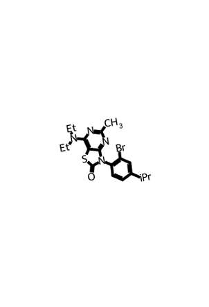 CCN(CC)c1nc(C)nc2c1sc(=O)n2-c1ccc(C(C)C)cc1Br